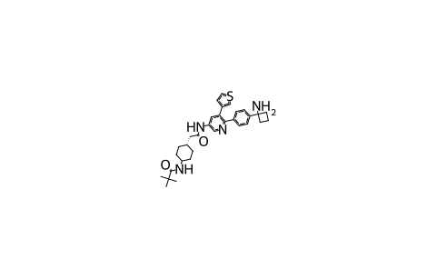 CC(C)(C)C(=O)N[C@H]1CC[C@H](CC(=O)Nc2cnc(-c3ccc(C4(N)CCC4)cc3)c(-c3ccsc3)c2)CC1